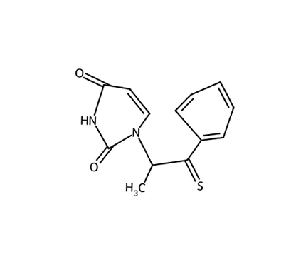 CC(C(=S)c1ccccc1)n1ccc(=O)[nH]c1=O